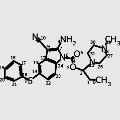 CCC(OC(=O)n1c(N)c(C#N)c2cc(Sc3ccccc3)ccc21)N1CCN(C)CC1